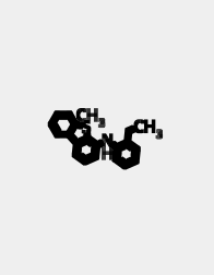 CCc1ccccc1Nc1cccc2c1SC1(C)C=CC=CC21